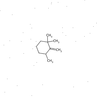 C=C1C(C)C[CH]CC1(C)C